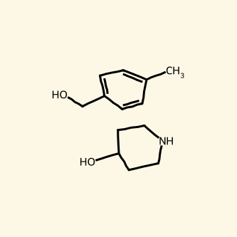 Cc1ccc(CO)cc1.OC1CCNCC1